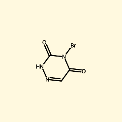 O=c1cn[nH]c(=O)n1Br